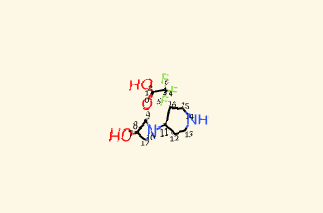 O=C(O)C(F)(F)F.OC1CN(C2CCNCC2)C1